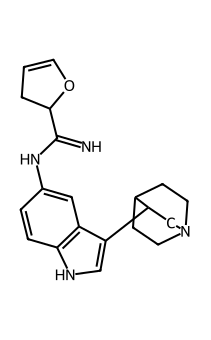 N=C(Nc1ccc2[nH]cc(C3CN4CCC3CC4)c2c1)C1CC=CO1